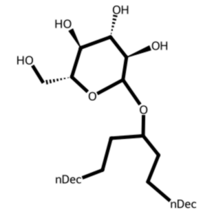 CCCCCCCCCCCCC(CCCCCCCCCCCC)OC1O[C@H](CO)[C@@H](O)[C@H](O)[C@H]1O